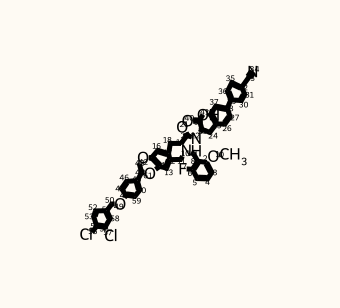 COc1cccc(F)c1CN1Cc2cc3c(cc2CC1C(=O)NC(Cc1ccc(-c2ccc(C#N)cc2)cc1)C(=O)O)OCC(c1ccc(OCc2ccc(Cl)c(Cl)c2)cc1)O3